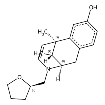 C[C@H]1[C@H]2Cc3ccc(O)cc3[C@]1(C)C=CN2C[C@H]1CCCO1